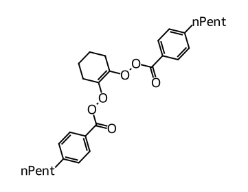 CCCCCc1ccc(C(=O)OOC2=C(OOC(=O)c3ccc(CCCCC)cc3)CCCC2)cc1